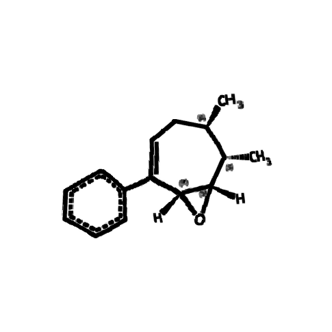 C[C@@H]1[C@@H]2O[C@@H]2C(c2ccccc2)=CC[C@H]1C